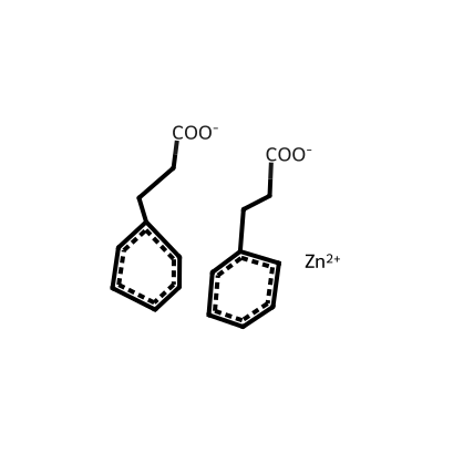 O=C([O-])CCc1ccccc1.O=C([O-])CCc1ccccc1.[Zn+2]